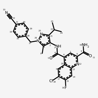 Cc1c(NC(=O)c2cc(C(N)=O)nc3cc(F)c(Cl)cc23)c(C(C)C)nn1Cc1ccc(C#N)cc1